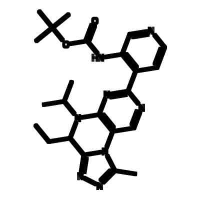 CCC1c2nnc(C)n2-c2cnc(-c3ccncc3NC(=O)OC(C)(C)C)nc2N1C(C)C